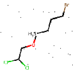 ClC(Cl)CO[SiH2]CCCBr